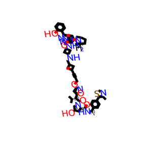 Cc1ncsc1-c1ccc([C@H](C)NC(=O)[C@@H]2C[C@@H](O)CN2C(=O)[C@@H](c2cc(OCC#CC34CC(CNC5CC(Oc6cc(N7C8CC[C@@H]7CN(c7cc(-c9ccccc9O)nnc7N)C8)ccn6)C5)(C3)C4)no2)C(C)C)cc1